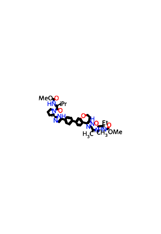 CC[C@H](NC(=O)OC)C(=O)N(C)[C@@H](C)c1nc2c([nH]1)CCOc1cc(-c3ccc(-c4cnc([C@@H]5CCCN5C(=O)[C@@H](NC(=O)OC)C(C)C)[nH]4)cc3)ccc1-2